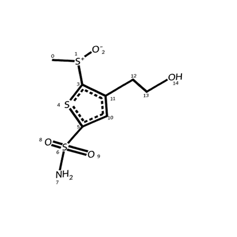 C[S+]([O-])c1sc(S(N)(=O)=O)cc1CCO